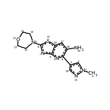 Cn1cc(-c2nc3nc(N4CCOCC4)sc3cc2N)cn1